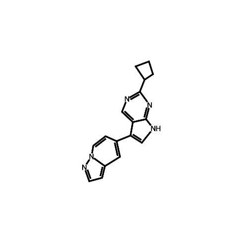 c1cc2cc(-c3c[nH]c4nc(C5CCC5)ncc34)ccn2n1